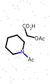 CC(=O)N1CCCCC1.CC(=O)OCC(=O)O